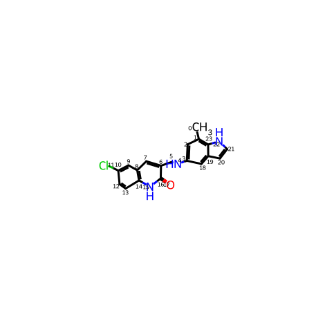 Cc1cc(NCc2cc3cc(Cl)ccc3[nH]c2=O)cc2cc[nH]c12